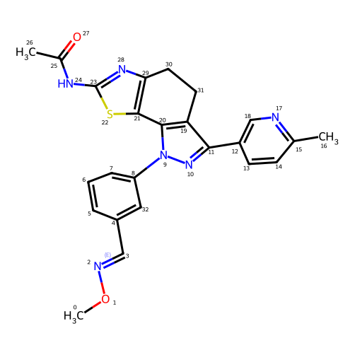 CO/N=C/c1cccc(-n2nc(-c3ccc(C)nc3)c3c2-c2sc(NC(C)=O)nc2CC3)c1